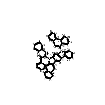 c1ccc(-c2nc3ccccc3nc2-n2c3cc4ccccc4cc3c3cc4c5ccccc5n(-c5cc6ccccc6c6ccccc56)c4cc32)cc1